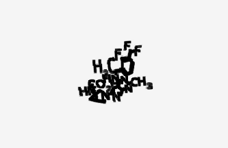 Cc1nc(NC(C)c2cccc(C(F)F)c2F)c2cc(N3CC4CC4(NC(=O)O)C3)ncc2n1